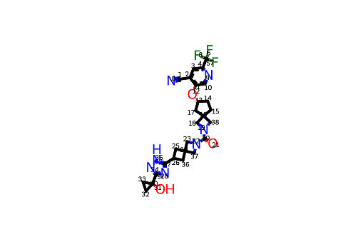 N#Cc1cc(C(F)(F)F)ncc1O[C@H]1CCC2(C1)CN(C(=O)N1CC3(CC(c4nc(C5(O)CC5)n[nH]4)C3)C1)C2